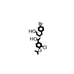 CC(C)Oc1ccc([C@H](O)C[C@H](CCO)Cc2ccc(Br)cc2)cc1Cl